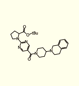 CC(C)(C)OC(=O)C1CCCN1c1ncc(C(=O)N2CCC(N3CCc4ccccc4C3)CC2)cn1